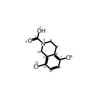 O=C(O)N1CCc2c(Cl)ccc(Cl)c2C1